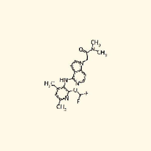 Cc1cc(C)c(Nc2nccc3c2ccn3CC(=O)N(C)C)c(OC(F)F)n1